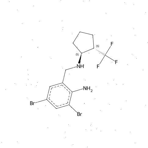 Nc1c(Br)cc(Br)cc1CN[C@H]1CCC[C@@H]1C(F)(F)F